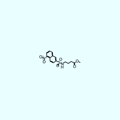 COC(=O)CCCNS(=O)(=O)c1ccc2c([N+](=O)[O-])cccc2c1